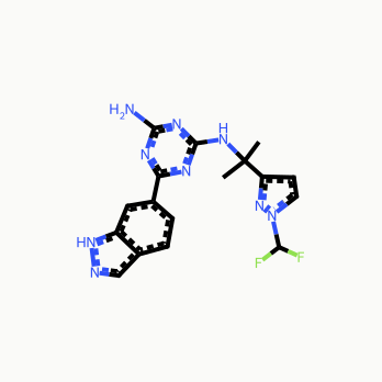 CC(C)(Nc1nc(N)nc(-c2ccc3cn[nH]c3c2)n1)c1ccn(C(F)F)n1